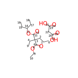 CCCC(CC)(C(=O)OCC)C(=O)OC(CC)CC.O=C(O)CC(=O)O